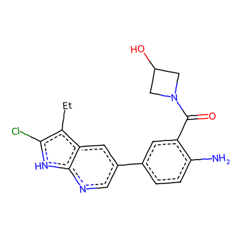 CCc1c(Cl)[nH]c2ncc(-c3ccc(N)c(C(=O)N4CC(O)C4)c3)cc12